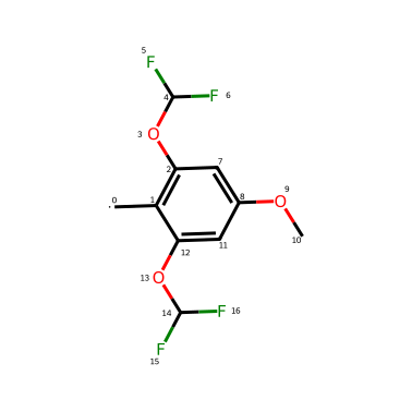 [CH2]c1c(OC(F)F)cc(OC)cc1OC(F)F